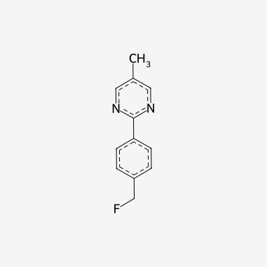 Cc1cnc(-c2ccc(CF)cc2)nc1